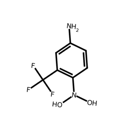 Nc1ccc(N(O)O)c(C(F)(F)F)c1